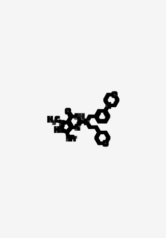 CCCC1NN(C)c2c1nc(N(CCC1CCOCC1)Cc1cccc(N3CCOCC3)c1)[nH]c2=O